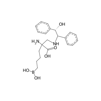 NC(CCCCB(O)O)(CNC(c1ccccc1)[C@@H](O)c1ccccc1)C(=O)O